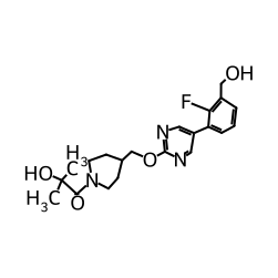 CC(C)(O)C(=O)N1CCC(COc2ncc(-c3cccc(CO)c3F)cn2)CC1